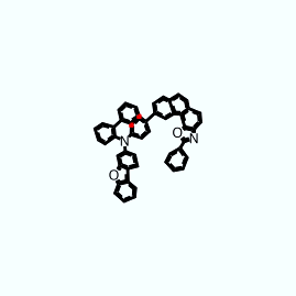 c1ccc(-c2nc3ccc4ccc5ccc(-c6ccc(N(c7ccc8c(c7)oc7ccccc78)c7ccccc7-c7ccccc7)cc6)cc5c4c3o2)cc1